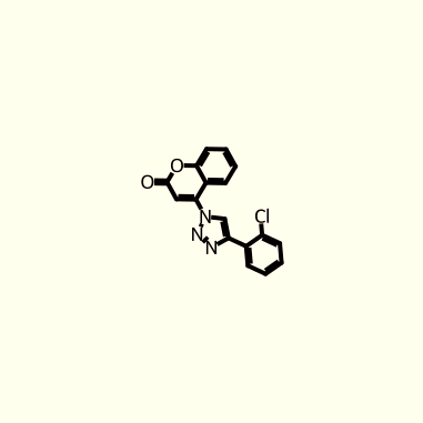 O=c1cc(-n2cc(-c3ccccc3Cl)nn2)c2ccccc2o1